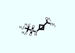 CC(C)C12CC(NS(=O)(=O)C(C)(C)C)(C1)C2